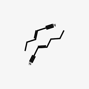 CCC=CC#N.CCCC=CC#N